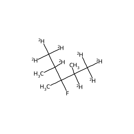 [2H]C([2H])([2H])C([2H])(C)C(C)(F)C([2H])(C)C([2H])([2H])[2H]